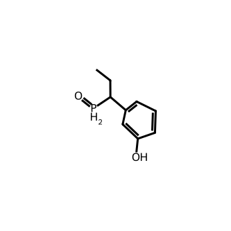 CCC([PH2]=O)c1cccc(O)c1